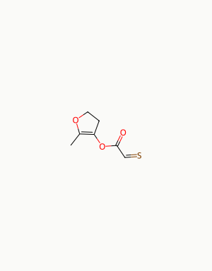 CC1=C(OC(=O)C=S)CCO1